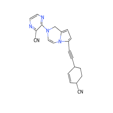 N#Cc1nccnc1N1C=Cn2c(C#CC3C=CC(C#N)CC3)ccc2C1